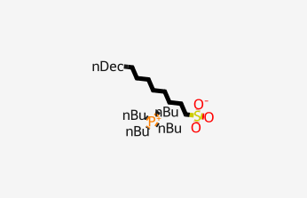 CCCCCCCCCCCCCCCCCCS(=O)(=O)[O-].CCCC[P+](CCCC)(CCCC)CCCC